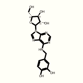 OC[C@H]1OC(n2cnc3c(NCc4ccc(O)c(O)c4)ncnc32)[C@@H](O)[C@@H]1O